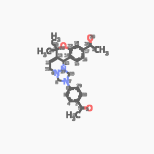 CC(=O)c1ccc(N2CN3CC=C4C(c5ccc(C(C)=O)cc5OC4(C)C)N3C2)cc1